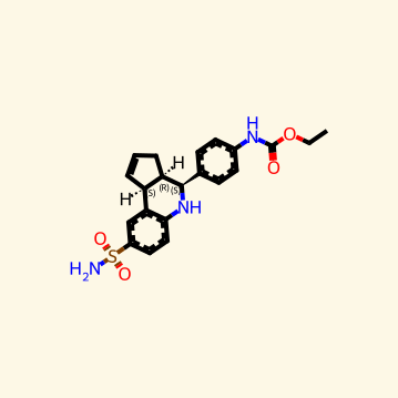 CCOC(=O)Nc1ccc([C@H]2Nc3ccc(S(N)(=O)=O)cc3[C@H]3C=CC[C@H]32)cc1